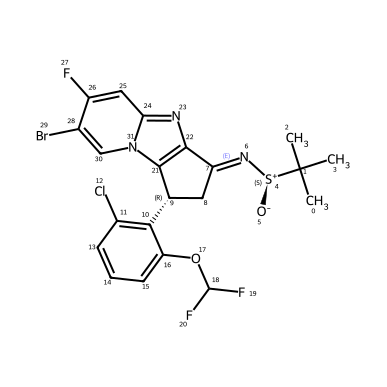 CC(C)(C)[S@@+]([O-])/N=C1\C[C@H](c2c(Cl)cccc2OC(F)F)c2c1nc1cc(F)c(Br)cn21